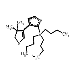 CCC[CH2][Sn]([CH2]CCC)([CH2]CCC)[c]1sccc1C1=CSCC1(C)C